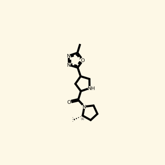 [C][C@H]1CCCN1C(=O)C1CC(c2nnc(C)o2)CN1